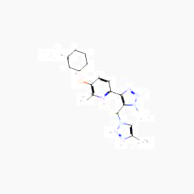 CCCCc1cn(Cc2c(-c3ccc(O[C@H]4CCC[C@H](C(=O)O)C4)c(CC)n3)nnn2C)nn1